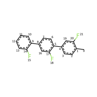 Cc1ccc(-c2ccc(-c3ccccc3F)cc2F)cc1F